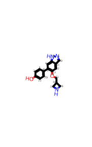 Oc1ccc(-c2cc3[nH]ncc3cc2OCC2CNC2)cc1